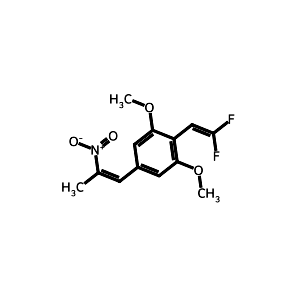 COc1cc(C=C(C)[N+](=O)[O-])cc(OC)c1C=C(F)F